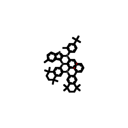 Cc1ccc2sc3c(c2c1)B1c2cc4c(cc2N(c2cc5c(cc2-c2ccccc2)C(C)(C)CCC5(C)C)c2cc(F)cc(c21)N3c1ccc(C(C)(C)C)cc1C)C(C)(C)CCC4(C)C